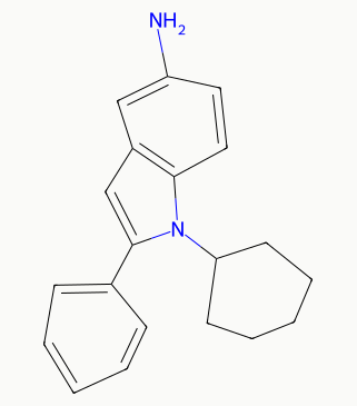 Nc1ccc2c(c1)cc(-c1ccccc1)n2C1CCCCC1